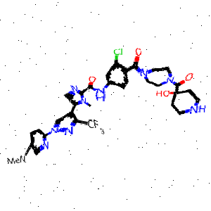 CNc1ccc(-n2cc(-c3cnc(C(=O)Nc4ccc(C(=O)N5CCN(C(=O)C6(O)CCNCC6)CC5)c(Cl)c4)n3C)c(C(F)(F)F)n2)nc1